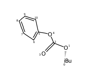 CC[C@@H](C)OC(=O)Oc1ccccc1